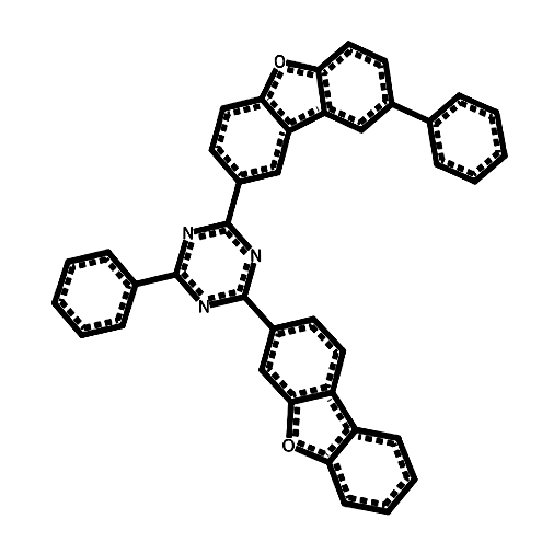 c1ccc(-c2ccc3oc4ccc(-c5nc(-c6ccccc6)nc(-c6ccc7c(c6)oc6ccccc67)n5)cc4c3c2)cc1